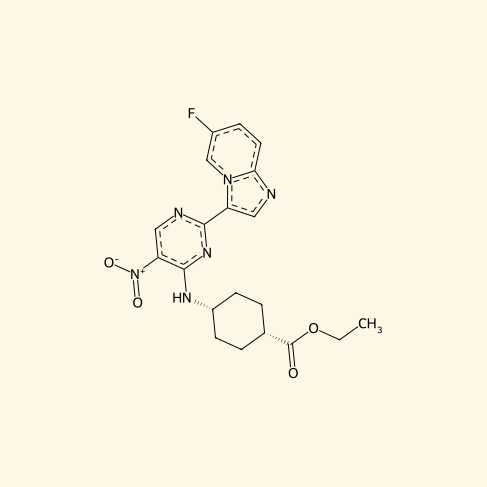 CCOC(=O)[C@H]1CC[C@@H](Nc2nc(-c3cnc4ccc(F)cn34)ncc2[N+](=O)[O-])CC1